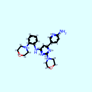 Nc1ccc(-c2cc(Nc3ccccc3N3CCOCC3)nc(N3CCOCC3)n2)cn1